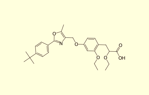 CCOc1cc(OCc2nc(-c3ccc(C(C)(C)C)cc3)oc2C)ccc1CC(OCC)C(=O)O